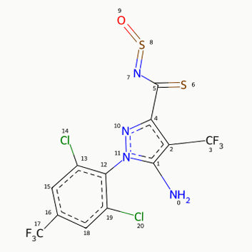 Nc1c(C(F)(F)F)c(C(=S)N=S=O)nn1-c1c(Cl)cc(C(F)(F)F)cc1Cl